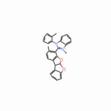 Cc1ccccc1-n1c(-c2c(C)ccc3c2OC2Oc4ccccc4C32)[n+](C)c2ccccc21